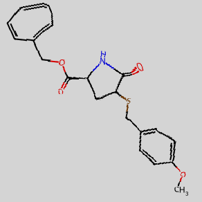 COc1ccc(CSC2C[C@@H](C(=O)OCc3ccccc3)NC2=O)cc1